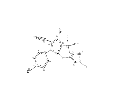 Cc1ncc(Cn2c(-c3ccc(Cl)cc3)c(C#N)c(Br)c2C(F)(F)F)s1